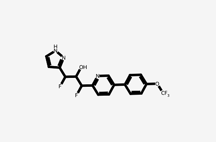 OC(C(F)c1ccc(-c2ccc(OC(F)(F)F)cc2)cn1)C(F)c1cc[nH]n1